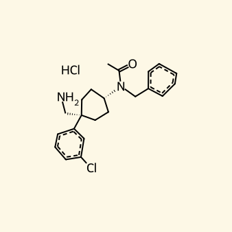 CC(=O)N(Cc1ccccc1)[C@H]1CC[C@](CN)(c2cccc(Cl)c2)CC1.Cl